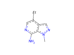 CCc1cnc(N)c2c1cnn2C